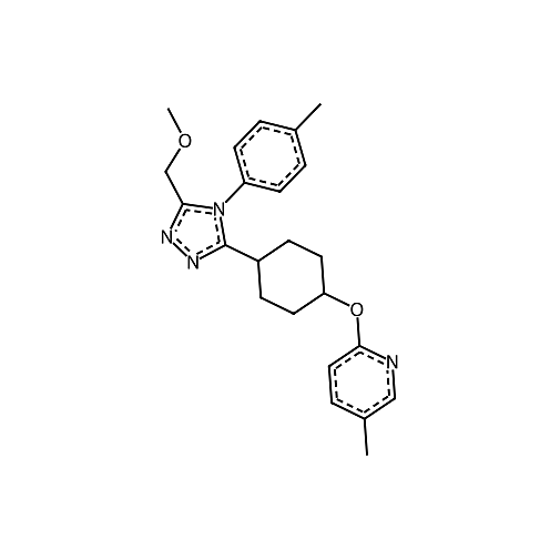 COCc1nnc(C2CCC(Oc3ccc(C)cn3)CC2)n1-c1ccc(C)cc1